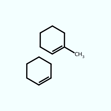 C1=CCCCC1.CC1=CCCCC1